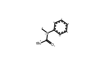 CN(C(=O)C(C)(C)C)c1ccccc1